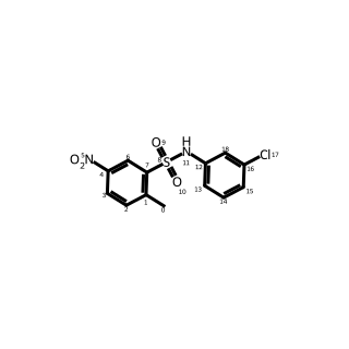 Cc1ccc([N+](=O)[O-])cc1S(=O)(=O)Nc1cccc(Cl)c1